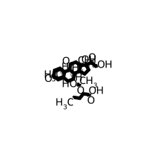 CC(=O)O.CCCCC(=O)O.C[C@]12C=CC(=O)C=C1CC[C@@H]1[C@@H]2C(=O)C[C@@]2(C)[C@H]1CC[C@]2(O)C(=O)CO